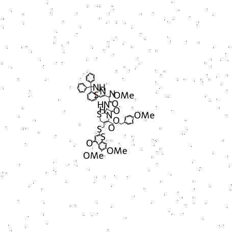 CO/N=C(\C(=O)NC1C(=O)N2C(C(=O)OCc3ccc(OC)cc3)=C(CSc3cc(=O)c4cc(OC)c(OC)cc4s3)CS[C@@H]12)c1csc(NC(c2ccccc2)(c2ccccc2)c2ccccc2)n1